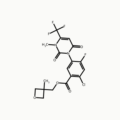 Cn1c(C(F)(F)F)cc(=O)n(-c2cc(C(=O)OCC3(C)COC3)c(Cl)cc2F)c1=O